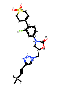 C[Si](C)(C)C#Cc1cn(C[C@H]2CN(c3ccc(C4=CCS(=O)(=O)CC4)c(F)c3)C(=O)O2)nn1